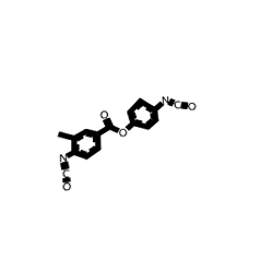 Cc1cc(C(=O)Oc2ccc(N=C=O)cc2)ccc1N=C=O